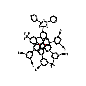 N#Cc1cc(C#N)cc(-c2ccc3c(c2)c2cc(-c4cc(C#N)cc(C#N)c4)ccc2n3-c2ccc(-c3nc(-c4ccccc4)nc(-c4ccccc4)n3)cc2-c2cc(C(F)(F)F)ccc2-n2c3ccc(-c4cc(C#N)cc(C#N)c4)cc3c3cc(-c4cc(C#N)cc(C#N)c4)ccc32)c1